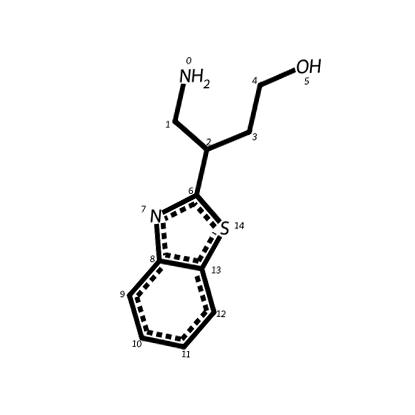 NCC(CCO)c1nc2ccccc2s1